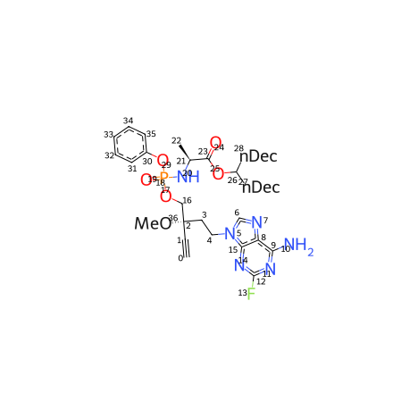 C#C[C@](CCn1cnc2c(N)nc(F)nc21)(COP(=O)(N[C@@H](C)C(=O)OC(CCCCCCCCCC)CCCCCCCCCC)Oc1ccccc1)OC